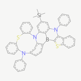 C[Si](C)(C)c1cc2c3c(c1)N(c1ccccc1)c1c(sc4ccccc14)B3c1ccc3cc1N2c1ccccc1Sc1ccccc1N3c1ccccc1